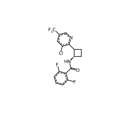 O=C(N[C@@H]1CCC1c1ncc(C(F)(F)F)cc1Cl)c1c(F)cccc1F